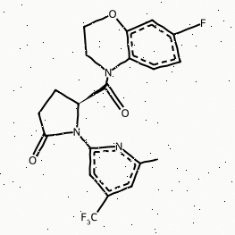 Cc1cc(C(F)(F)F)cc(N2C(=O)CC[C@H]2C(=O)N2CCOc3cc(F)ccc32)n1